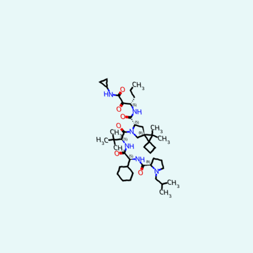 CCC[C@H](NC(=O)[C@@H]1C[C@@]2(CN1C(=O)[C@@H](NC(=O)[C@@H](NC(=O)[C@H]1CCCN1CC(C)C)C1CCCCC1)C(C)(C)C)C(C)(C)C21CCC1)C(=O)C(=O)NC1CC1